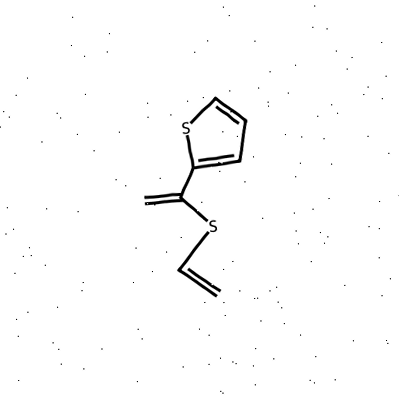 C=CSC(=C)c1cccs1